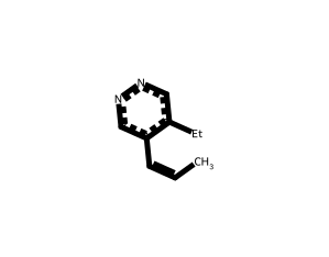 C/C=C\c1cnncc1CC